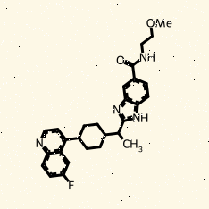 COCCNC(=O)c1ccc2[nH]c(C(C)C3CCC(c4ccnc5ccc(F)cc45)CC3)nc2c1